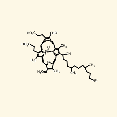 C=CC1=C(C)/C2=C/c3c(C(O)CCCC(C)CCCC(C)CCCC(C)C)c(C)c4[n]3[Fe]([Cl])[n]3/c(c(C)c(CCC(=O)O)/c3=C/C3=NC(=C\4)/C(C=O)=C3CCC(=O)O)=C\C1=N2